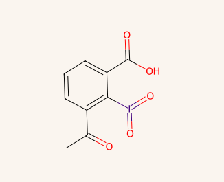 CC(=O)c1cccc(C(=O)O)c1I(=O)=O